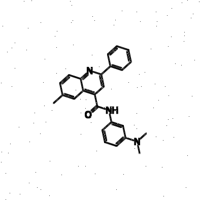 Cc1ccc2nc(-c3ccccc3)cc(C(=O)Nc3cccc(N(C)C)c3)c2c1